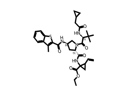 C=CC1CC1(NC(=O)[C@@H]1C[C@@H](NC(=O)c2sc3ccccc3c2C)CN1C(=O)[C@@H](NC(=O)CC1CC1)C(C)(C)C)C(=O)OCC